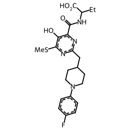 CCC(NC(=O)c1nc(CC2CCN(c3ccc(F)cc3)CC2)nc(SC)c1O)C(=O)O